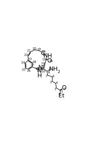 CCC(=O)CCCCC[C@H](N)c1[nH]c2nc1C(=O)NCCC/C=C\c1cccc-2c1